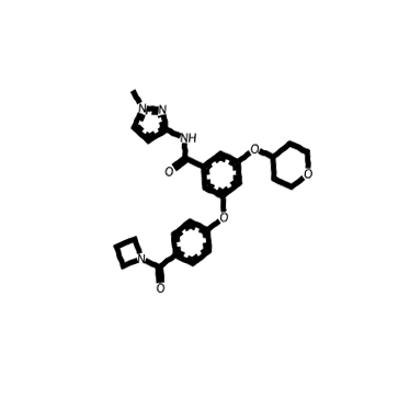 Cn1ccc(NC(=O)c2cc(Oc3ccc(C(=O)N4CCC4)cc3)cc(OC3CCOCC3)c2)n1